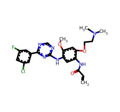 C=CC(=O)Nc1cc(Nc2ncnc(-c3cc(F)cc(Cl)c3)n2)c(OC)cc1OCCN(C)C